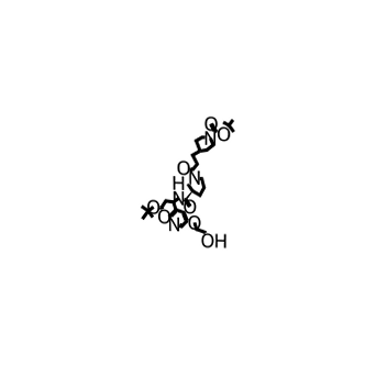 CC(C)(C)OC(=O)CC(NC(=O)[C@@H]1CCCN(C(=O)CCC2CCN(C(=O)OC(C)(C)C)CC2)C1)c1cncc(OCCO)c1